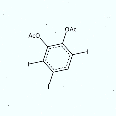 CC(=O)Oc1c(I)cc(I)c(I)c1OC(C)=O